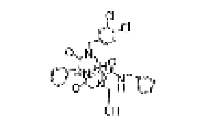 C#CCN1CC(=O)N2[C@@H](c3ccccc3)C(=O)N(Cc3ccc(Cl)c(Cl)c3)C[C@@H]2N1C(=O)NCc1ccccc1